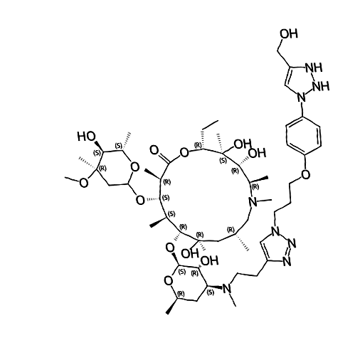 CC[C@H]1OC(=O)[C@H](C)[C@@H](OC2C[C@@](C)(OC)[C@@H](O)[C@H](C)O2)[C@H](C)[C@@H](O[C@@H]2O[C@H](C)C[C@H](N(C)CCc3cn(CCCOc4ccc(N5C=C(CO)NN5)cc4)nn3)[C@H]2O)[C@](C)(O)C[C@@H](C)CN(C)[C@H](C)[C@@H](O)[C@]1(C)O